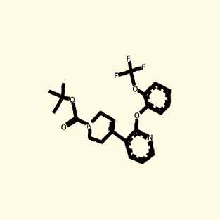 CC(C)(C)OC(=O)N1CC=C(c2cccnc2Oc2ccccc2OC(F)(F)F)CC1